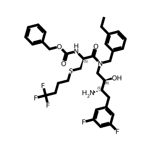 CCc1cccc(CN(C[C@@H](O)[C@@H](N)Cc2cc(F)cc(F)c2)C(=O)[C@@H](CSCCCC(F)(F)F)NC(=O)OCc2ccccc2)c1